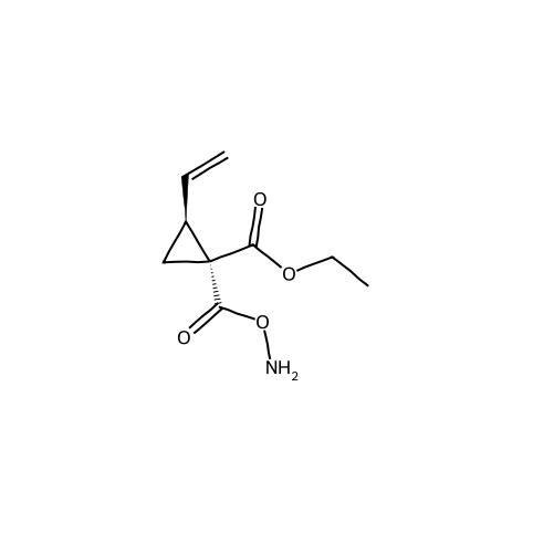 C=C[C@@H]1C[C@]1(C(=O)ON)C(=O)OCC